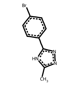 Cc1nnc(-c2ccc(Br)cc2)[nH]1